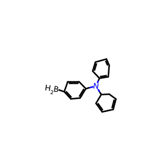 Bc1ccc(N(c2ccccc2)C2C=CC=CC2)cc1